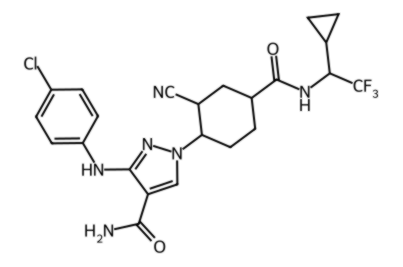 N#CC1CC(C(=O)NC(C2CC2)C(F)(F)F)CCC1n1cc(C(N)=O)c(Nc2ccc(Cl)cc2)n1